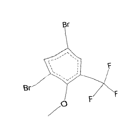 COc1c(Br)cc(Br)cc1C(F)(F)F